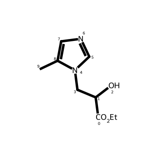 CCOC(=O)C(O)Cn1cncc1C